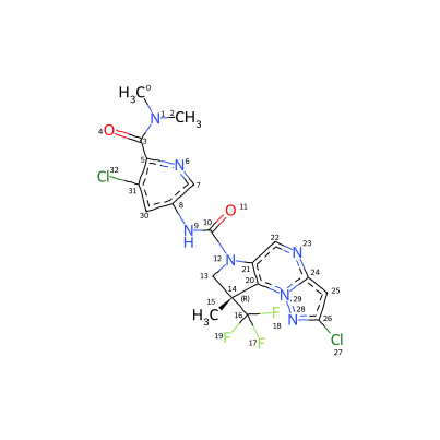 CN(C)C(=O)c1ncc(NC(=O)N2C[C@@](C)(C(F)(F)F)c3c2cnc2cc(Cl)nn32)cc1Cl